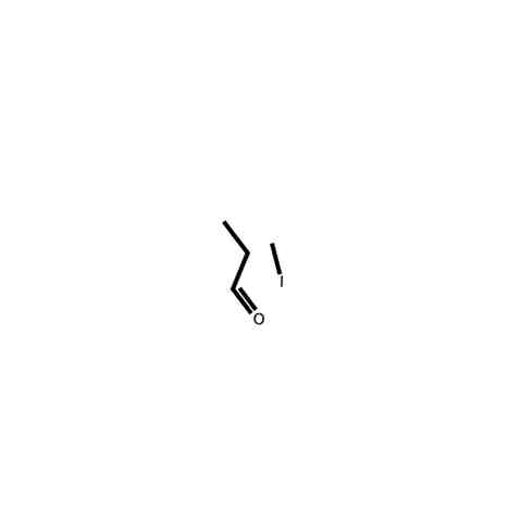 CCC=O.CI